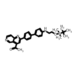 CC(=O)c1cc(-c2ccc(-c3ccc(NCCO[Si](C)(C)C(C)(C)C)cc3)cc2)nc2ccncc12